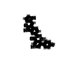 O=C1Nc2cc(NC(=O)c3c[nH]cc(-c4ccc(F)cc4F)c3=O)ccc2C1=Cc1ccc[nH]1